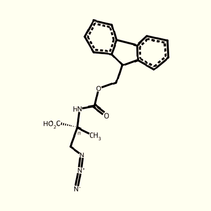 C[C@@](CN=[N+]=[N-])(NC(=O)OCC1c2ccccc2-c2ccccc21)C(=O)O